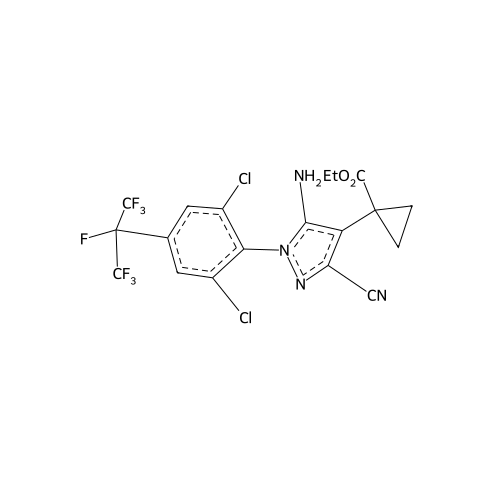 CCOC(=O)C1(c2c(C#N)nn(-c3c(Cl)cc(C(F)(C(F)(F)F)C(F)(F)F)cc3Cl)c2N)CC1